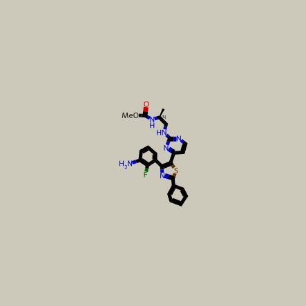 COC(=O)N[C@@H](C)CNc1nccc(-c2sc(-c3ccccc3)nc2-c2cccc(N)c2F)n1